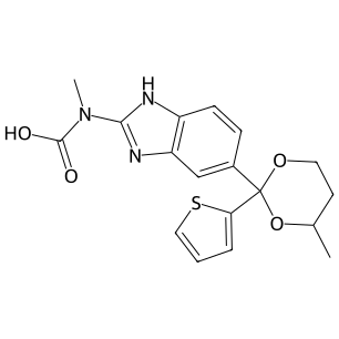 CC1CCOC(c2ccc3[nH]c(N(C)C(=O)O)nc3c2)(c2cccs2)O1